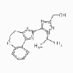 CC(C)n1nc(CO)nc1-c1nc2c(s1)CCOc1ccccc1-2